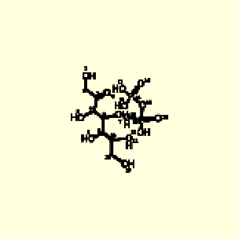 O=C(CO)C(O)C(O)C(O)C(O)CO.O=P(O)(O)OP(=O)(O)O